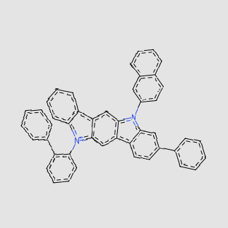 c1ccc(-c2ccc3c4cc5c(cc4n(-c4ccc6ccccc6c4)c3c2)c2ccccc2n5-c2ccccc2-c2ccccc2)cc1